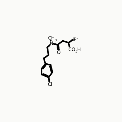 CC(C)C(CC(=O)N(C)CCCc1ccc(Cl)cc1)C(=O)O